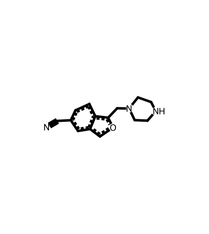 N#Cc1ccc2c(CN3CCNCC3)occ2c1